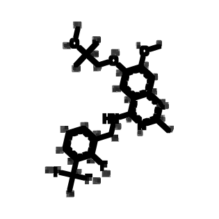 COc1cc2nc(C)nc(NCc3cccc(C(C)(F)F)c3F)c2cc1OCC(C)(C)OC